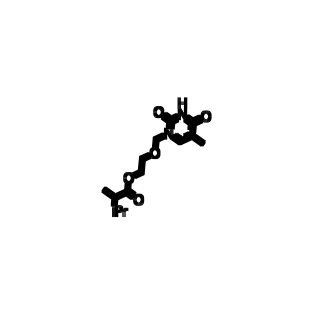 Cc1cn(COCCOC(=O)C(C)C(C)C)c(=O)[nH]c1=O